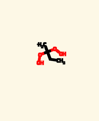 [CH2]C(CC)(OO)OO